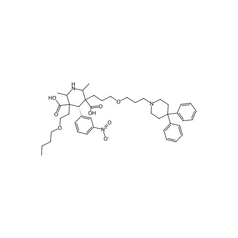 CCCCOCCC1(C(=O)O)C(C)NC(C)C(CCCOCCCN2CCC(c3ccccc3)(c3ccccc3)CC2)(C(=O)O)[C@@H]1c1cccc([N+](=O)[O-])c1